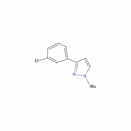 CCc1cccc(-c2ccn(C(C)(C)C)n2)c1